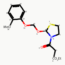 CCOC(=O)CC(=O)N1CCS[C@@H]1OCOc1ccccc1OC